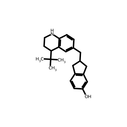 CC(C)(C)C1CCNc2ccc(CC3Cc4ccc(O)cc4C3)cc21